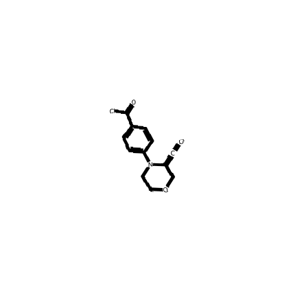 O=C=C1COCCN1c1ccc(C(=O)Cl)cc1